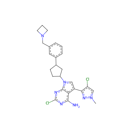 Cn1cc(Cl)c(-c2cn(C3CCC(c4cccc(CN5CCC5)c4)C3)c3nc(Cl)nc(N)c23)n1